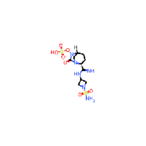 N=C(NC1CN(S(N)(=O)=O)C1)[C@@H]1CC[C@@H]2CN1C(=O)N2OS(=O)(=O)O